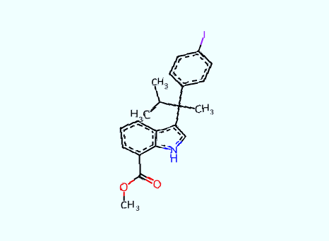 COC(=O)c1cccc2c(C(C)(c3ccc(I)cc3)C(C)C)c[nH]c12